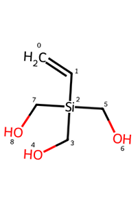 C=C[Si](CO)(CO)CO